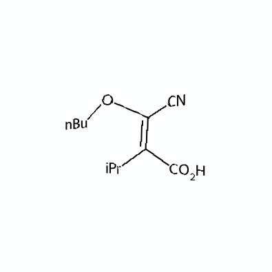 CCCCOC(C#N)=C(C(=O)O)C(C)C